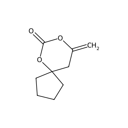 C=C1CC2(CCCC2)OC(=O)O1